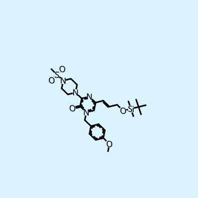 COc1ccc(Cn2cc(C=CCO[Si](C)(C)C(C)(C)C)nc(N3CCN(S(C)(=O)=O)CC3)c2=O)cc1